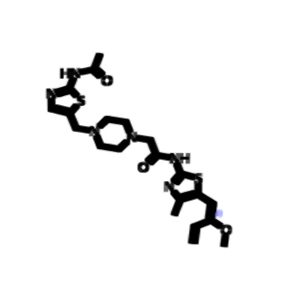 C=C/C(=C\c1sc(NC(=O)CN2CCN(Cc3cnc(NC(C)=O)s3)CC2)nc1C)OC